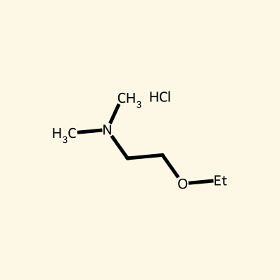 CCOCCN(C)C.Cl